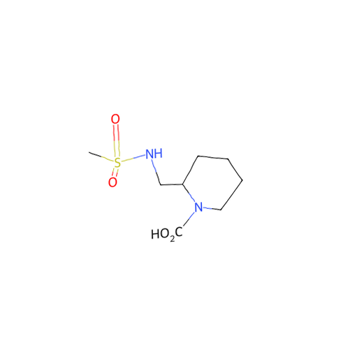 CS(=O)(=O)NCC1CCCCN1C(=O)O